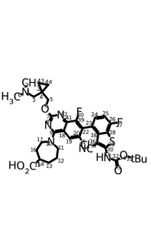 CN(C)CC1(COc2nc(N3CCCC(C(=O)O)CC3)c3cc(Cl)c(-c4ccc(F)c5sc(NC(=O)OC(C)(C)C)c(C#N)c45)c(F)c3n2)CC1